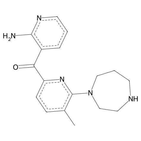 Cc1ccc(C(=O)c2cccnc2N)nc1N1CCCNCC1